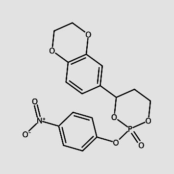 O=[N+]([O-])c1ccc(OP2(=O)OCCC(c3ccc4c(c3)OCCO4)O2)cc1